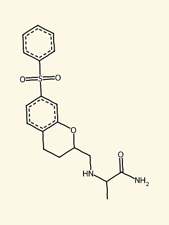 CC(NCC1CCc2ccc(S(=O)(=O)c3ccccc3)cc2O1)C(N)=O